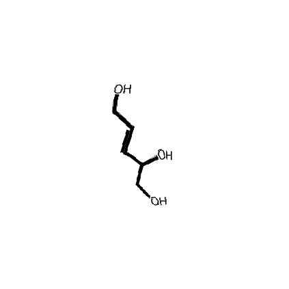 OCC=CC(O)CO